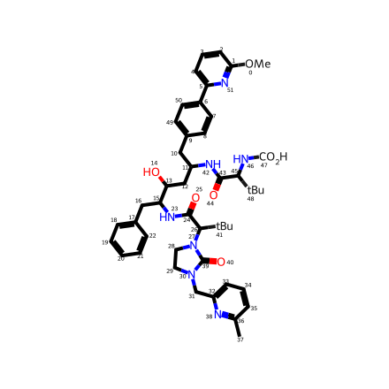 COc1cccc(-c2ccc(CC(CC(O)C(Cc3ccccc3)NC(=O)C(N3CCN(Cc4cccc(C)n4)C3=O)C(C)(C)C)NC(=O)C(NC(=O)O)C(C)(C)C)cc2)n1